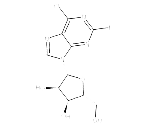 OC[C@H]1O[C@@H](n2cnc3c(Cl)nc(I)nc32)[C@H](O)[C@@H]1O